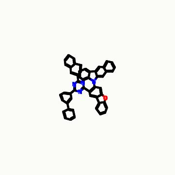 c1ccc(-c2cccc(-c3nc(-c4ccc5ccccc5c4)nc(-c4cc5c(cc4-n4c6ccccc6c6cc7ccccc7cc64)oc4ccccc45)n3)c2)cc1